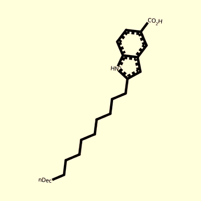 CCCCCCCCCCCCCCCCCCCc1cc2cc(C(=O)O)ccc2[nH]1